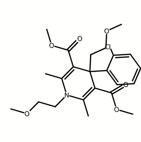 COCCN1C(C)=C(C(=O)OC)C(CCOC)(c2ccccc2Cl)C(C(=O)OC)=C1C